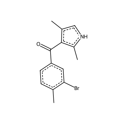 Cc1ccc(C(=O)c2c(C)c[nH]c2C)cc1Br